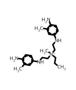 CCC[N+](C)(CCNc1ccc(N)c(C)c1)CCNc1ccc(N)c(C)c1